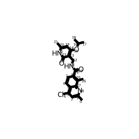 Cc1cc(Cl)c2ccc(C(=O)NCc3c(OC(C)C)cc(C)[nH]c3=O)c(C)c2n1